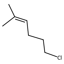 CC(C)=CCCCCl